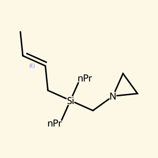 C/C=C/C[Si](CCC)(CCC)CN1CC1